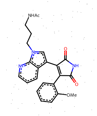 COc1ccccc1C1=C(c2cn(CCCNC(C)=O)c3ncccc23)C(=O)NC1=O